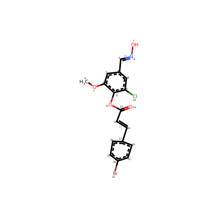 COc1cc(/C=N/O)cc(Cl)c1OC(=O)/C=C/c1ccc(Br)cc1